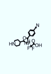 N#Cc1ccc(-c2nnc(C3CCNCC3)o2)cc1.O=C(O)C(F)(F)F